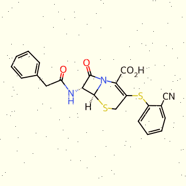 N#Cc1ccccc1SC1=C(C(=O)O)N2C(=O)[C@@H](NC(=O)Cc3ccccc3)[C@@H]2SC1